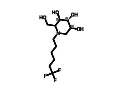 OCC1[C@@H](O)[C@H](O)[C@@H](O)CN1CCCCCC(F)(F)F